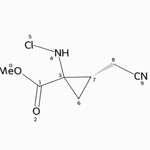 COC(=O)C1(NCl)C[C@H]1CC#N